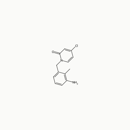 Cc1c(N)cccc1Cn1ccc(Cl)cc1=O